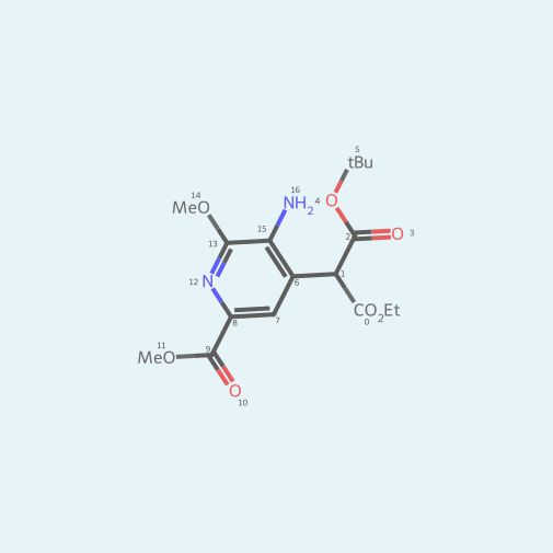 CCOC(=O)C(C(=O)OC(C)(C)C)c1cc(C(=O)OC)nc(OC)c1N